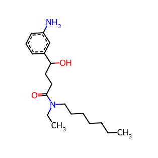 CCCCCCCN(CC)C(=O)CCC(O)c1cccc(N)c1